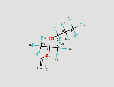 C=COC(OC(F)(F)C(F)(F)C(F)(F)F)(C(F)(F)F)C(F)(F)F